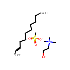 CCCCCCCCC=CCCCCCCCC(=O)O.CS(=O)(=O)[O-].C[N+](C)(C)CCO